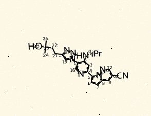 CC(C)Nc1cc(-c2ccc3cc(C#N)cnn23)ncc1-n1cc(CCC(C)(C)O)nn1